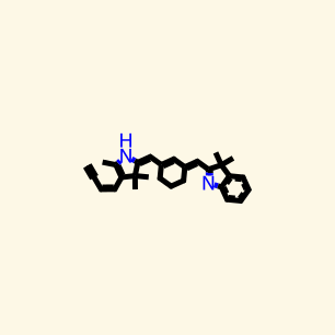 C#C/C=C\C1=C(C)N/C(=C/C2=CC(=C/C3=Nc4ccccc4C3(C)C)/CCC2)C1(C)C